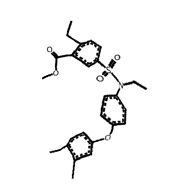 CCc1ccc(S(=O)(=O)N(CC)c2ccc(Oc3ccc(C)c(C)c3)cc2)cc1C(=O)OC